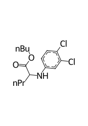 CCCCOC(=O)C(CCC)Nc1ccc(Cl)c(Cl)c1